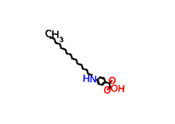 CCCCCCCCCCCCCCCCCNc1ccc(C(=O)C(=O)O)cc1